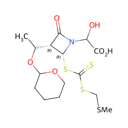 CSCSC(=S)S[C@@H]1[C@H](C(C)OC2CCCCO2)C(=O)N1C(O)C(=O)O